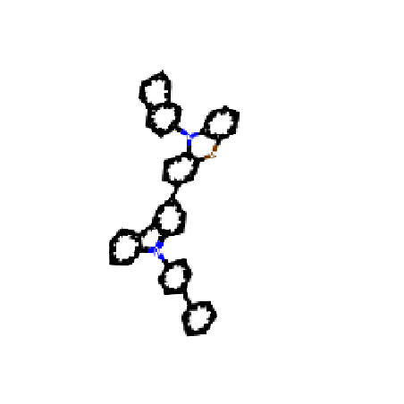 c1ccc(-c2ccc(-n3c4ccccc4c4cc(-c5ccc6c(c5)Sc5ccccc5N6c5ccc6ccccc6c5)ccc43)cc2)cc1